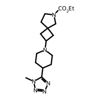 CCOC(=O)N1CCC2(CC(N3CCC(c4nnnn4C)CC3)C2)C1